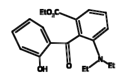 CCOC(=O)c1cccc(N(CC)CC)c1C(=O)c1ccccc1O